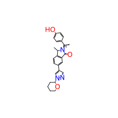 CC1c2ccc(-c3cnn(C4CCCCO4)c3)cc2C(=O)N1[C@H](C)c1ccc(O)cc1